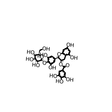 O=C(O[C@@H]1Cc2c(O)cc(O)cc2O[C@@H]1c1cc(O)c(O[C@H]2O[C@H](CO)[C@@H](O)[C@H](O)[C@H]2O)c(O)c1)c1cc(O)c(O)c(O)c1